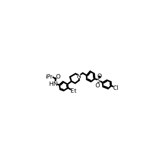 CCc1ccc(NC(=O)C(C)C)cc1C1CCN(Cc2ccc(S(=O)(=O)c3ccc(Cl)cc3)cc2)CC1